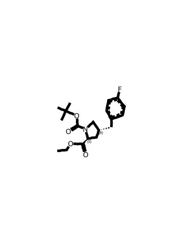 CCOC(=O)[C@@H]1C[C@@H](Cc2ccc(F)cc2)CN1C(=O)OC(C)(C)C